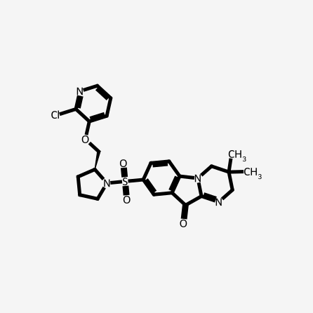 CC1(C)CN=C2C(=O)c3cc(S(=O)(=O)N4CCC[C@H]4COc4cccnc4Cl)ccc3N2C1